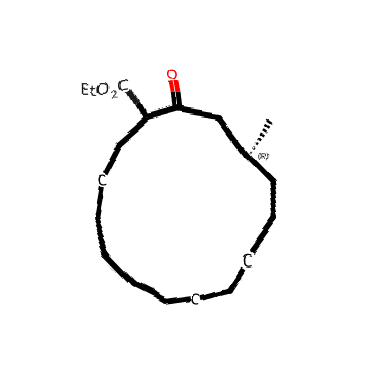 CCOC(=O)C1CCCCCCCCCCC[C@@H](C)CC1=O